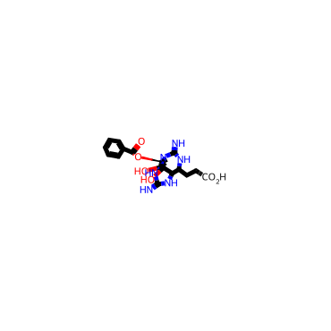 N=C1NC2C(CCC(=O)O)NC(=N)N3C[C@H](OC(=O)c4ccccc4)C(O)(O)[C@@]23N1